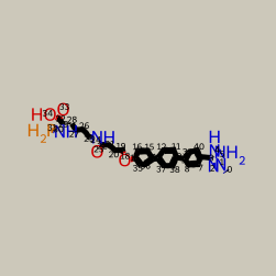 C=N/N=C(\NN)c1ccc(-c2ccc(-c3ccc(OCCCC(=O)NCCCC[C@H](NP)C(=O)O)cc3)cc2)cc1